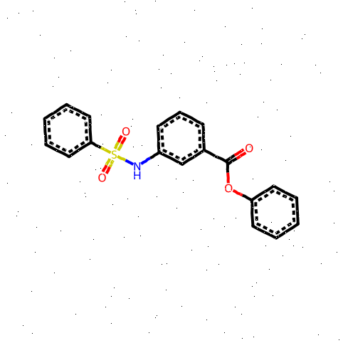 O=C(Oc1ccccc1)c1cccc(NS(=O)(=O)c2ccccc2)c1